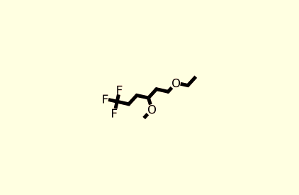 CCOCCC(CCC(F)(F)F)OC